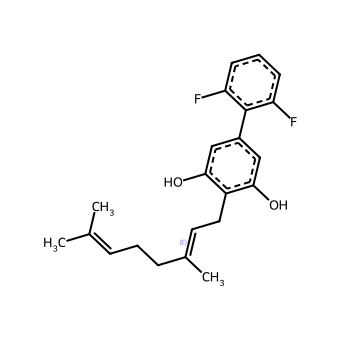 CC(C)=CCC/C(C)=C/Cc1c(O)cc(-c2c(F)cccc2F)cc1O